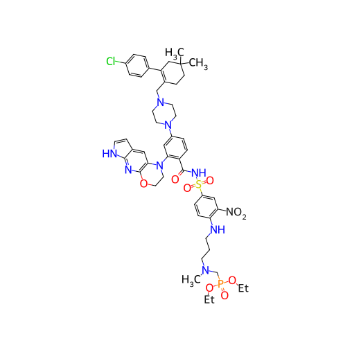 CCOP(=O)(CN(C)CCCNc1ccc(S(=O)(=O)NC(=O)c2ccc(N3CCN(CC4=C(c5ccc(Cl)cc5)CC(C)(C)CC4)CC3)cc2N2CCOc3nc4[nH]ccc4cc32)cc1[N+](=O)[O-])OCC